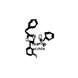 COc1c(F)cccc1-c1oc(Cc2ccccc2)nc1NS(=O)(=O)c1ccccc1